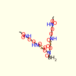 BC(=O)CN(CCOC(=O)CSCC(=O)NCCOCCOCCNC(=O)OCCC)CCOC(=O)CSCC(=O)NCCOCCOCCNC(=O)OCCC